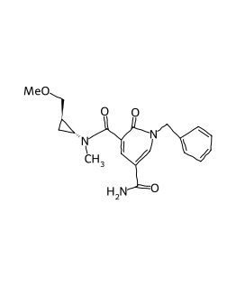 COC[C@@H]1C[C@H]1N(C)C(=O)c1cc(C(N)=O)cn(Cc2ccccc2)c1=O